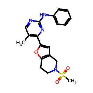 Cc1cnc(Nc2ccccc2)nc1-c1cc2c(o1)CCN(S(C)(=O)=O)C2